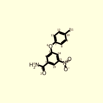 NC(=O)c1cc(Oc2ccc(I)cc2)cc([N+](=O)[O-])c1